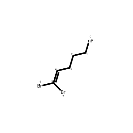 CCCCCCC=C(Br)Br